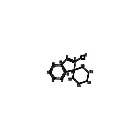 ClC1=Cc2ccccc2C12CCCCC2